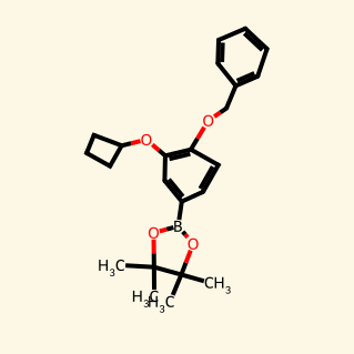 CC1(C)OB(c2ccc(OCc3ccccc3)c(OC3CCC3)c2)OC1(C)C